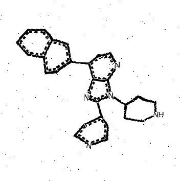 c1ccc2cc(-c3ccnc4c3nc(-c3ccncc3)n4C3CCNCC3)ccc2c1